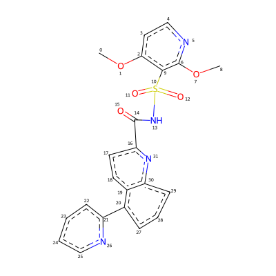 COc1ccnc(OC)c1S(=O)(=O)NC(=O)c1ccc2c(-c3ccccn3)cccc2n1